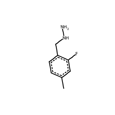 Cc1ccc(CNN)c(F)c1